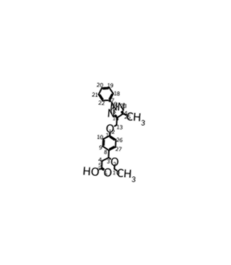 CCOC(CC(=O)O)c1ccc(OCc2nn(-c3ccccc3)nc2C)cc1